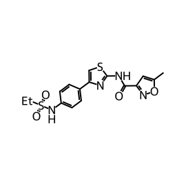 CCS(=O)(=O)Nc1ccc(-c2csc(NC(=O)c3cc(C)on3)n2)cc1